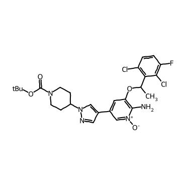 CC(Oc1cc(-c2cnn(C3CCN(C(=O)OC(C)(C)C)CC3)c2)c[n+]([O-])c1N)c1c(Cl)ccc(F)c1Cl